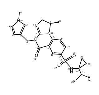 C[C@@H]1CN=C2N(Cc3cnn(C)c3)C(=O)c3cc(S(=O)(=O)NC4(C(F)F)CC4)ccc3N21